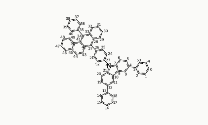 c1ccc(-c2ccc3c(c2)c2cc(-c4ccccc4)ccc2n3-c2ccc(-c3c4ccccc4c(-c4ccccc4)c4c3ccc3ccccc34)cc2)cc1